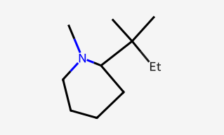 CCC(C)(C)C1CCCCN1C